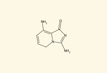 NC1=NC(=O)C2=C(N)C=CCN12